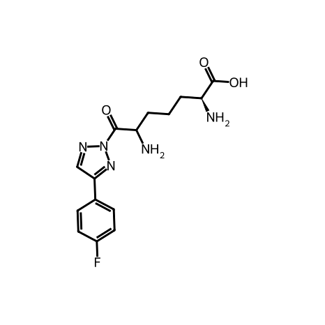 NC(CCC[C@H](N)C(=O)O)C(=O)n1ncc(-c2ccc(F)cc2)n1